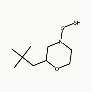 CC(C)(C)CC1CN(SS)CCO1